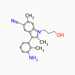 Cc1cc2c(cc1C#N)c(-c1cccc(N)c1C)c(C)n2CCCO